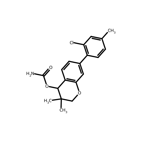 Cc1ccc(-c2ccc3c(c2)OCC(C)(C)C3OC(N)=O)c(Cl)c1